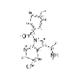 CC(=N)c1cn([S+]([O-])c2ccc(C)cc2)c2ncc(Cl)cc12